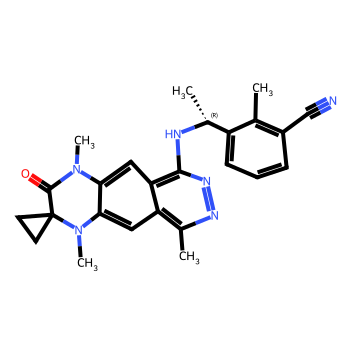 Cc1c(C#N)cccc1[C@@H](C)Nc1nnc(C)c2cc3c(cc12)N(C)C(=O)C1(CC1)N3C